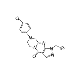 CC(C)Cn1ncc2c(=O)n3c(nc21)CN(c1ccc(Cl)cc1)CC3